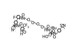 Cc1ncsc1-c1ccc(CNC(=O)[C@@H]2C[C@@H](O)CN2C(=O)[C@@H](NC(=O)CCOCCOCCOCCOCCNC(=O)c2ccc(F)c(-c3ccc(N4C[C@@H](C)N(C)[C@@H](C)C4)c(NC(=O)c4c[nH]c(=O)cc4C(F)(F)F)c3)c2)C(C)(C)C)cc1